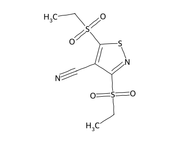 CCS(=O)(=O)c1nsc(S(=O)(=O)CC)c1C#N